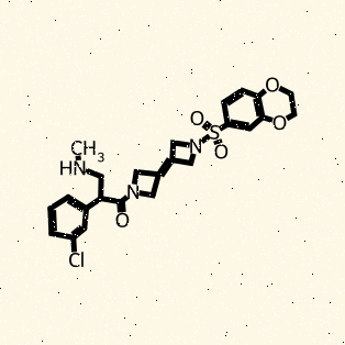 CNCC(C(=O)N1CC(=C2CN(S(=O)(=O)c3ccc4c(c3)OCCO4)C2)C1)c1cccc(Cl)c1